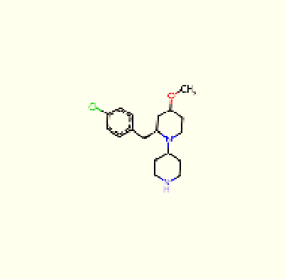 COC1CCN(C2CCNCC2)[C@@H](Cc2ccc(Cl)cc2)C1